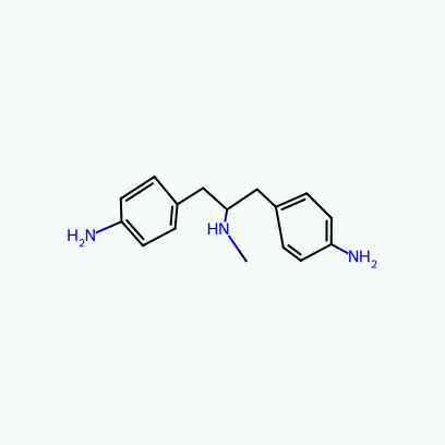 CNC(Cc1ccc(N)cc1)Cc1ccc(N)cc1